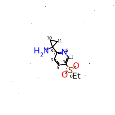 CCS(=O)(=O)c1ccc(C2(N)CC2)nc1